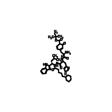 CC(C)C[C@@H](c1nc2ccccc2[nH]1)N(NC(=O)C(Cc1c[nH]cn1)NC(=O)C(N)CC1=CC(=O)C(C(=O)OC(C)(C)C)C=C1)C(=O)CCCCC1CCCCC1